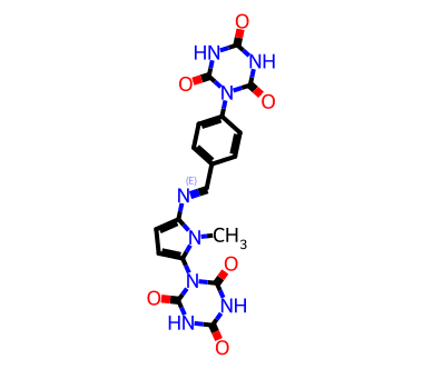 Cn1c(/N=C/c2ccc(-n3c(=O)[nH]c(=O)[nH]c3=O)cc2)ccc1-n1c(=O)[nH]c(=O)[nH]c1=O